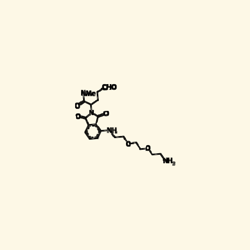 CNC(=O)C(CCC=O)N1C(=O)c2cccc(NCCOCCOCCN)c2C1=O